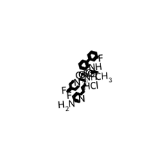 CCC(=O)Nc1c(-c2cccc(F)c2)cccc1S(=O)(=O)N[C@@H](CCCc1ccc(N)cn1)C(=O)N1CCC(=C(F)F)CC1.Cl